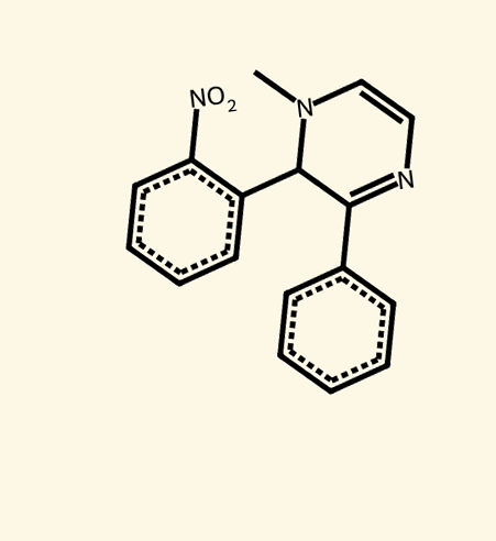 CN1C=CN=C(c2ccccc2)C1c1ccccc1[N+](=O)[O-]